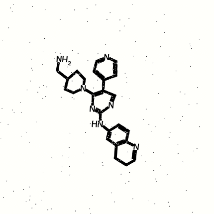 NCC1CCN(c2nc(Nc3ccc4c(c3)CCC=N4)ncc2-c2ccncc2)CC1